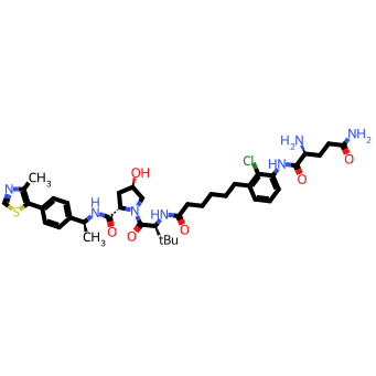 Cc1ncsc1-c1ccc([C@H](C)NC(=O)[C@@H]2C[C@@H](O)CN2C(=O)[C@@H](NC(=O)CCCCCc2cccc(NC(=O)[C@@H](N)CCC(N)=O)c2Cl)C(C)(C)C)cc1